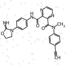 C#Cc1ccc(N(C)C(=O)c2nccnc2C(=O)Nc2ccc(N3CCOC3=N)cc2)cc1